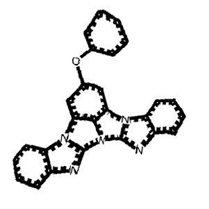 c1ccc(Oc2cc3c4c(c2)n2c5ccccc5nc2n4c2nc4ccccc4n32)cc1